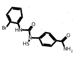 NC(=O)c1ccc(N(S)C(=O)Nc2ccccc2Br)cc1